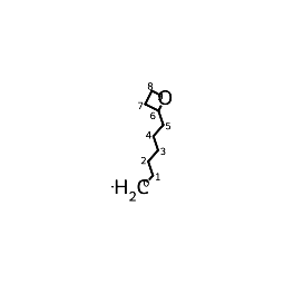 [CH2]CCCCCC1CCO1